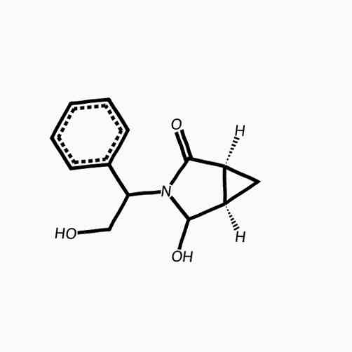 O=C1[C@H]2C[C@H]2C(O)N1C(CO)c1ccccc1